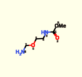 COC(=O)NCCOCN